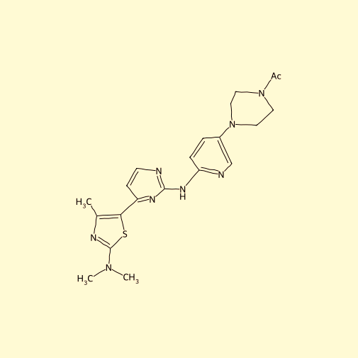 CC(=O)N1CCN(c2ccc(Nc3nccc(-c4sc(N(C)C)nc4C)n3)nc2)CC1